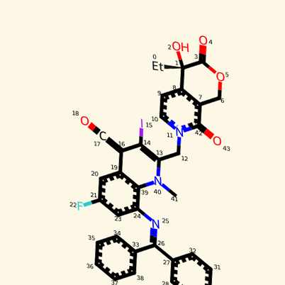 CC[C@@]1(O)C(=O)OCc2c1ccn(CC1=C(I)C(=C=O)c3cc(F)cc(N=C(c4ccccc4)c4ccccc4)c3N1C)c2=O